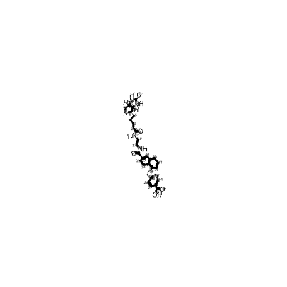 O=C(CCCC[C@@H]1SC[C@@H]2NC(=O)N[C@@H]21)NCCNC(=O)c1ccc2c(Oc3ccc(C(=O)O)cn3)cccc2c1